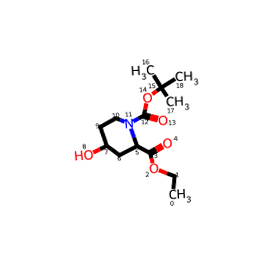 CCOC(=O)C1CC(O)CCN1C(=O)OC(C)(C)C